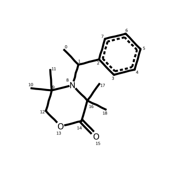 CC(c1ccccc1)N1C(C)(C)COC(=O)C1(C)C